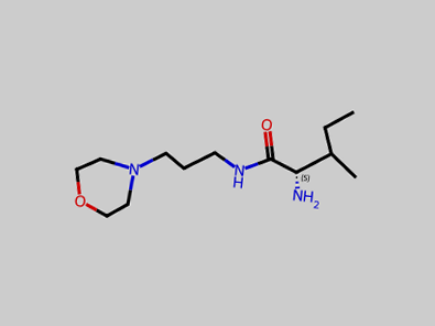 CCC(C)[C@H](N)C(=O)NCCCN1CCOCC1